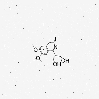 COc1cc2c(cc1OC)C(C(CO)CO)=NC(I)C2